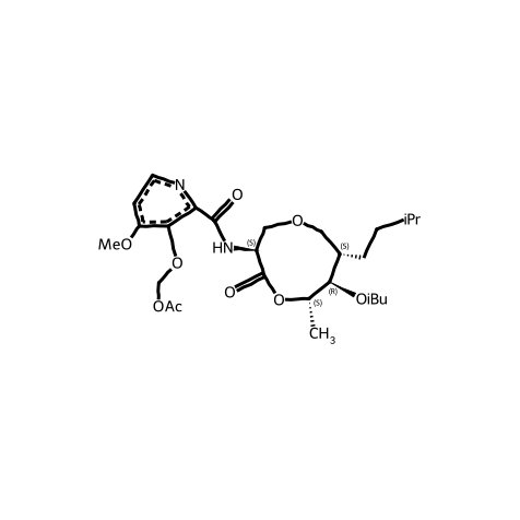 COc1ccnc(C(=O)N[C@H]2COC[C@H](CCC(C)C)[C@@H](OCC(C)C)[C@H](C)OC2=O)c1OCOC(C)=O